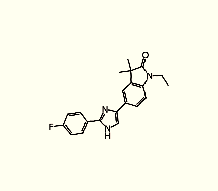 CCN1C(=O)C(C)(C)c2cc(-c3c[nH]c(-c4ccc(F)cc4)n3)ccc21